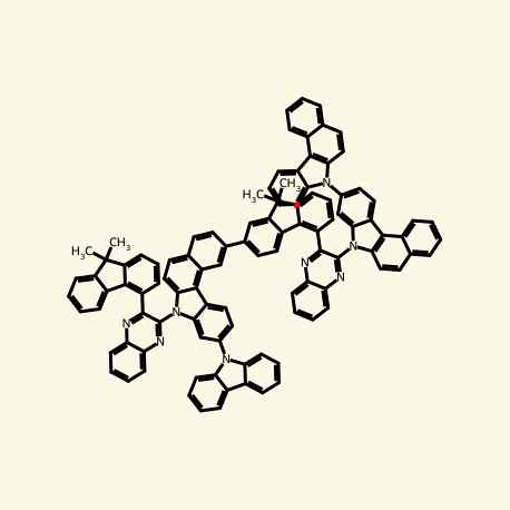 CC1(C)c2ccccc2-c2c(-c3nc4ccccc4nc3-n3c4cc(-n5c6ccccc6c6ccccc65)ccc4c4c5cc(-c6ccc7c(c6)C(C)(C)c6cccc(-c8nc9ccccc9nc8-n8c9cc(-n%10c%11ccccc%11c%11c%12ccccc%12ccc%11%10)ccc9c9c%10ccccc%10ccc98)c6-7)ccc5ccc43)cccc21